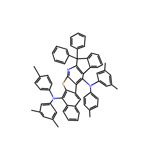 Cc1ccc(N(c2cc(C)cc(C)c2)c2c3ccccc3cc3c2sc2nc4c(c(N(c5ccc(C)cc5)c5cc(C)cc(C)c5)c23)-c2ccccc2C4(c2ccccc2)c2ccccc2)cc1